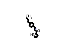 CCCCc1ccc(/C=C/C(=O)c2ccc[nH]2)cc1